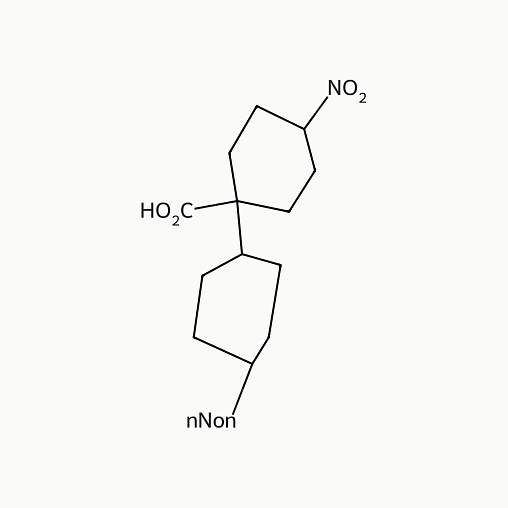 CCCCCCCCCC1CCC(C2(C(=O)O)CCC([N+](=O)[O-])CC2)CC1